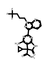 NC(=O)C1(C2CC2)C(=O)Nc2nc(-c3nn(CCCC(F)(F)F)c4ncccc34)nc(N)c21